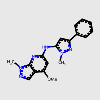 COc1cc(Nc2cc(-c3ccccc3)nn2C)nc2c1cnn2C